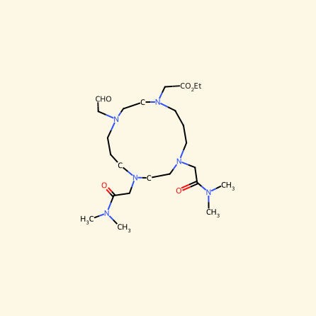 CCOC(=O)CN1CCCN(CC(=O)N(C)C)CCN(CC(=O)N(C)C)CCCN(CC=O)CC1